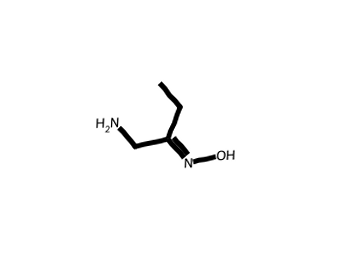 CC/C(CN)=N\O